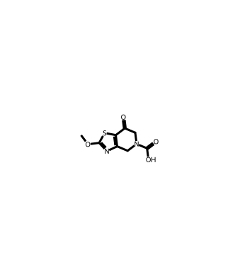 COc1nc2c(s1)C(=O)CN(C(=O)O)C2